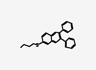 CCCCSc1ccc2cc(-c3ccccc3)c(-c3ccccc3)cc2c1